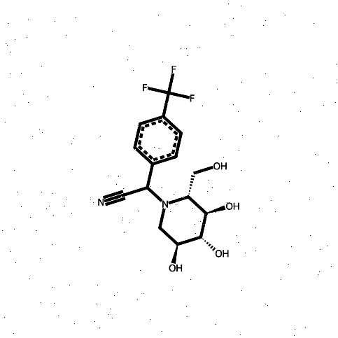 N#CC(c1ccc(C(F)(F)F)cc1)N1C[C@H](O)[C@@H](O)[C@H](O)[C@H]1CO